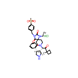 CC(C)CN1C(=O)N(Cc2ccc(S(C)(=O)=O)cc2)C(=O)C12CCN(C(C(=O)C1(C(F)(F)F)CCC1)[C@@H]1CNC[C@@H]1c1ccccc1)CC2.Cl